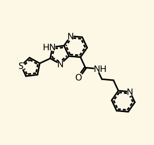 O=C(NCCc1ccccn1)c1ccnc2[nH]c(-c3ccsc3)nc12